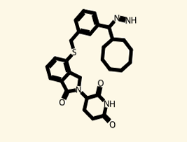 N=NC(c1cccc(CSc2cccc3c2CN(C2CCC(=O)NC2=O)C3=O)c1)C1CCCCCCC1